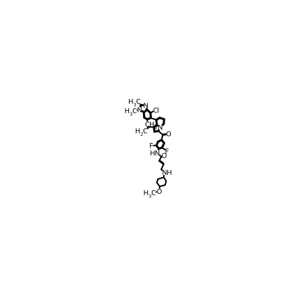 C=Cc1cc(C(=O)c2cc(F)c(NC(=O)/C=C/CNC3CCC(OC)CC3)c(F)c2)n2cccc(-c3c(C)cc4c(nc(C)n4C)c3Cl)c12